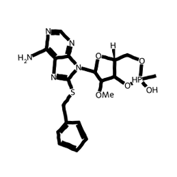 COC1C2O[PH](C)(O)OC[C@H]2OC1n1c(SCc2ccccc2)nc2c(N)ncnc21